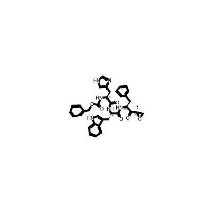 C[C@]1(C(=O)[C@H](Cc2ccccc2)NC(=O)[C@H](Cc2c[nH]c3ccccc23)NC(=O)[C@H](Cc2c[nH]cn2)NC(=O)OCc2ccccc2)CO1